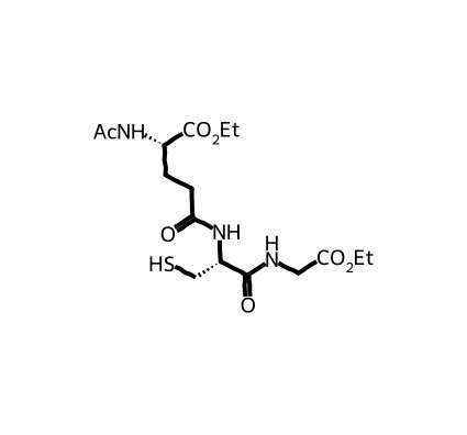 CCOC(=O)CNC(=O)[C@H](CS)NC(=O)CC[C@H](NC(C)=O)C(=O)OCC